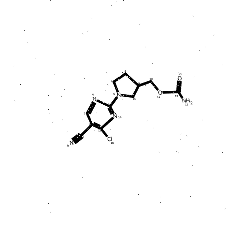 N#Cc1cnc(N2CCC(COC(N)=O)C2)nc1Cl